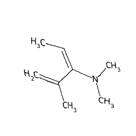 C=C(C)/C(=C\C)N(C)C